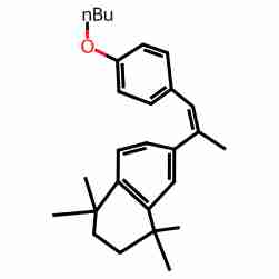 CCCCOc1ccc(/C=C(/C)c2ccc3c(c2)C(C)(C)CCC3(C)C)cc1